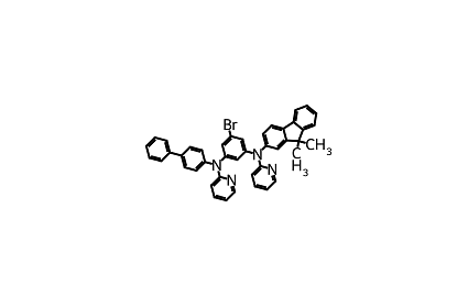 CC1(C)c2ccccc2-c2ccc(N(c3cc(Br)cc(N(c4ccc(-c5ccccc5)cc4)c4ccccn4)c3)c3ccccn3)cc21